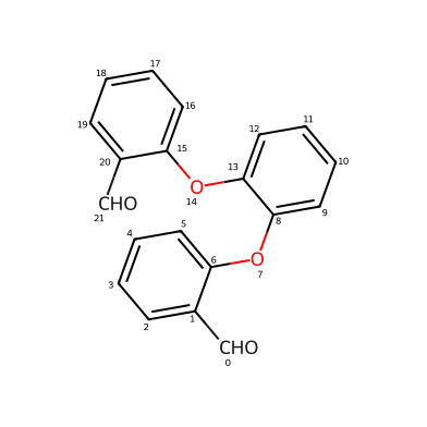 O=Cc1ccccc1Oc1ccccc1Oc1ccccc1C=O